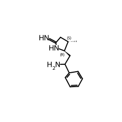 C[C@H]1CC(=N)N[C@@H]1CC(N)c1ccccc1